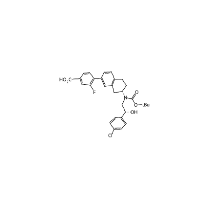 CC(C)(C)OC(=O)N(C[C@H](O)c1ccc(Cl)cc1)[C@H]1CCc2ccc(-c3ccc(C(=O)O)cc3F)cc2C1